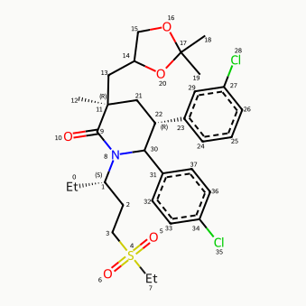 CC[C@@H](CCS(=O)(=O)CC)N1C(=O)[C@@](C)(CC2COC(C)(C)O2)C[C@H](c2cccc(Cl)c2)C1c1ccc(Cl)cc1